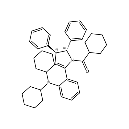 O=C(C1CCCCC1)N1C(c2ccccc2P(C2CCCCC2)C2CCCCC2)=N[C@@H](c2ccccc2)[C@@H]1c1ccccc1